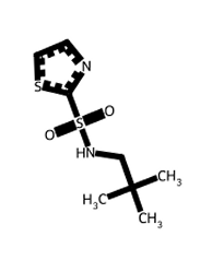 CC(C)(C)CNS(=O)(=O)c1nccs1